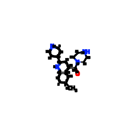 Cc1ccc2nc(-c3ccncc3)cc(C(=O)N3CCNCC3)c2c1